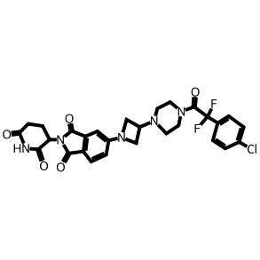 O=C1CCC(N2C(=O)c3ccc(N4CC(N5CCN(C(=O)C(F)(F)c6ccc(Cl)cc6)CC5)C4)cc3C2=O)C(=O)N1